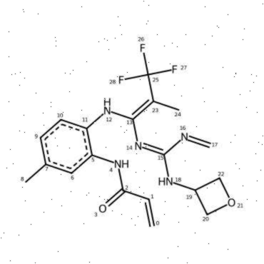 C=CC(=O)Nc1cc(C)ccc1NC(/N=C(\N=C)NC1COC1)=C(/C)C(F)(F)F